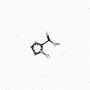 COC(=O)c1cccn1C(F)(F)F